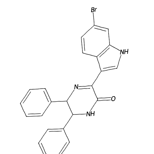 O=C1NC(c2ccccc2)C(c2ccccc2)N=C1c1c[nH]c2cc(Br)ccc12